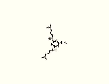 CN(C)CCCNc1nc(N)nc(NCCCN(C)C)n1